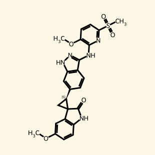 COc1ccc2c(c1)C1(C[C@H]1c1ccc3c(Nc4nc(S(C)(=O)=O)ccc4OC)n[nH]c3c1)C(=O)N2